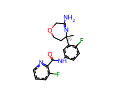 C[C@@]1(c2cc(NC(=O)c3ncccc3F)ccc2F)CCOCC(N)=N1